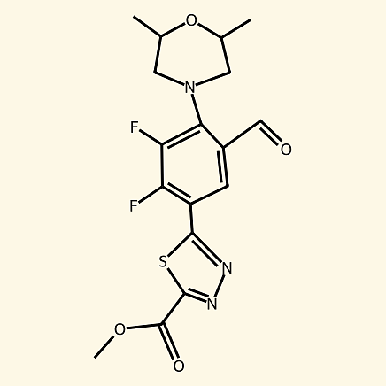 COC(=O)c1nnc(-c2cc(C=O)c(N3CC(C)OC(C)C3)c(F)c2F)s1